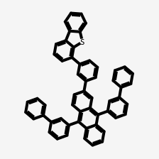 c1ccc(-c2cccc(-c3c4ccccc4c(-c4cccc(-c5ccccc5)c4)c4cc(-c5cccc(-c6cccc7c6sc6ccccc67)c5)ccc34)c2)cc1